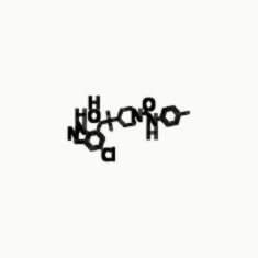 Cc1ccc(NC(=O)N2CCC(C(C)(C)C(O)c3cc(Cl)cc4cn[nH]c34)CC2)cc1